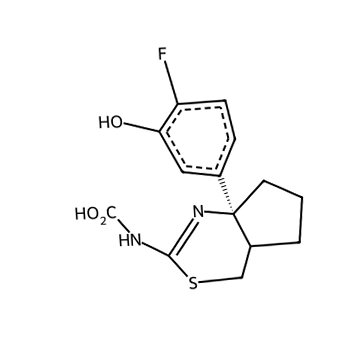 O=C(O)NC1=N[C@@]2(c3ccc(F)c(O)c3)CCCC2CS1